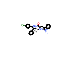 CNC(Cc1c[nH]c2ccccc12)C(=O)N1CC(c2ccccc2)C(c2ccc(Cl)cc2)=N1